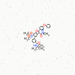 CCN(c1cc2oc(-c3ccc(Oc4ccccc4)cc3)c(C(=O)NC)c2cc1-c1cccc(C(=O)NC(C)(C)C)c1)S(C)(=O)=O